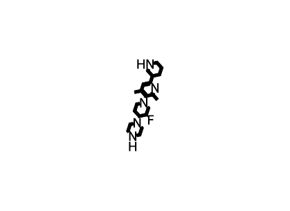 Cc1cc(C2CCCNC2)nc(C)c1N1CC[C@@H](N2CCNCC2)[C@@H](F)C1